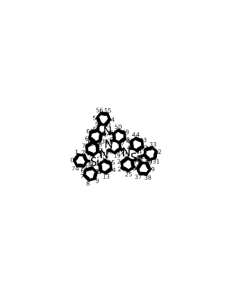 c1ccc([Si]2(c3ccccc3)c3ccccc3N(c3cc(N4c5ccccc5[Si](c5ccccc5)(c5ccccc5)c5ccccc54)c4cccc(-n5c6ccccc6c6ccccc65)c4n3)c3ccccc32)cc1